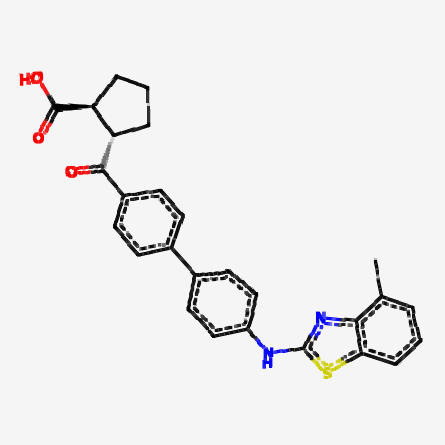 Cc1cccc2sc(Nc3ccc(-c4ccc(C(=O)[C@H]5CCC[C@@H]5C(=O)O)cc4)cc3)nc12